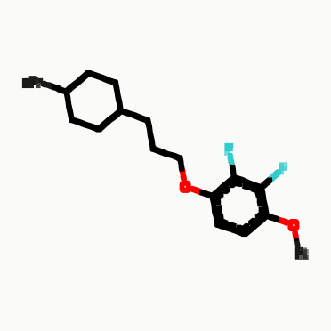 CCCC1CCC(CCCOc2ccc(OCC)c(F)c2F)CC1